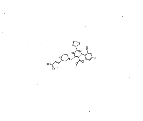 C#Cc1cc(F)ccc1[C@@H]1N=C(c2nccs2)NC(CN2CCO[C@H](/C=C/C(=O)O)C2)=C1C(=O)OC